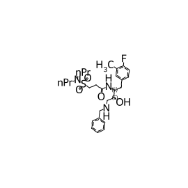 CCCN(CCC)S(=O)(=O)CCC(=O)N[C@@H](Cc1ccc(F)c(C)c1)[C@@H](O)CNCc1ccccc1